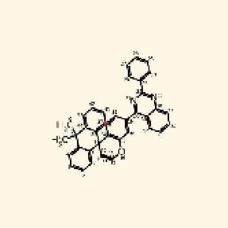 CC1(C)c2ccccc2C2(c3ccccc3Oc3cc(-c4nc(-c5ccccc5)nc5ccccc45)ccc32)c2ccccc21